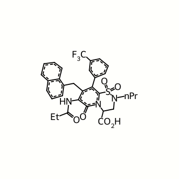 CCCN1CC(C(=O)O)n2c(c(-c3cccc(C(F)(F)F)c3)c(Cc3cccc4ccccc34)c(NC(=O)CC)c2=O)S1(=O)=O